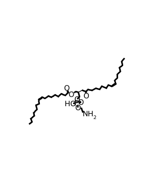 CCCCCCCC/C=C\CCCCCCCC(=O)C[C@H](COC(=O)CCCCCCC/C=C\CCCCCCCC)COP(=O)(O)OCCN